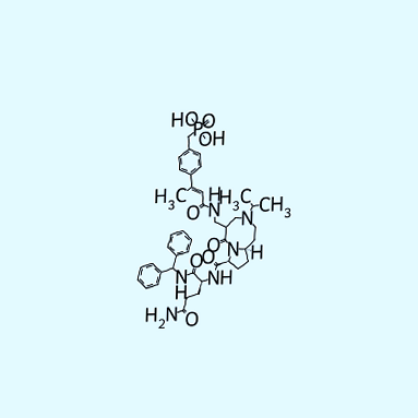 C/C(=C\C(=O)NCC1CN(C(C)C)CC[C@H]2CC[C@@H](C(=O)N[C@@H](CCC(N)=O)C(=O)NC(c3ccccc3)c3ccccc3)N2C1=O)c1ccc(CP(=O)(O)O)cc1